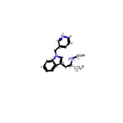 CON[C@@H](Cc1cn(Cc2cccnc2)c2ccccc12)C(=O)O